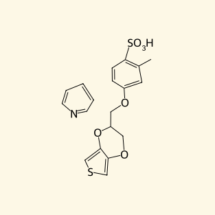 Cc1cc(OCC2COc3cscc3O2)ccc1S(=O)(=O)O.c1ccncc1